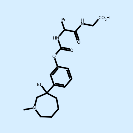 CCC1(c2cccc(OC(=O)NC(C(=O)NCC(=O)O)C(C)C)c2)CCCCN(C)C1